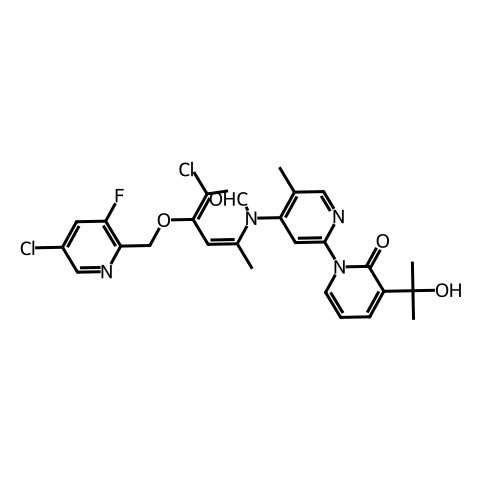 C/C(=C/C(OCc1ncc(Cl)cc1F)=C(\C)Cl)N(C=O)c1cc(-n2cccc(C(C)(C)O)c2=O)ncc1C